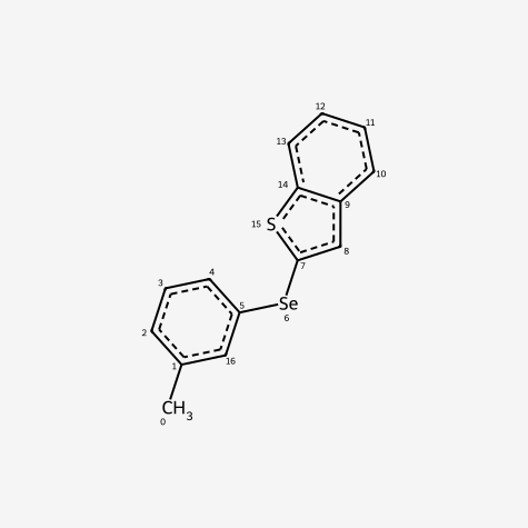 Cc1cccc([Se]c2cc3ccccc3s2)c1